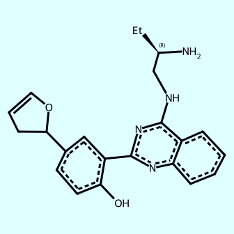 CC[C@@H](N)CNc1nc(-c2cc(C3CC=CO3)ccc2O)nc2ccccc12